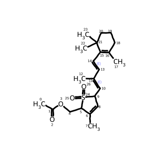 CC(=O)OCC1C(C)=CC(/C=C(C)/C=C/C2=C(C)CCCC2(C)C)S1(=O)=O